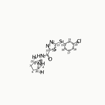 O=C(N[C@@H]1C[C@H]2CC[C@@H]1N2)c1nnc(Sc2cccc(Cl)c2)s1